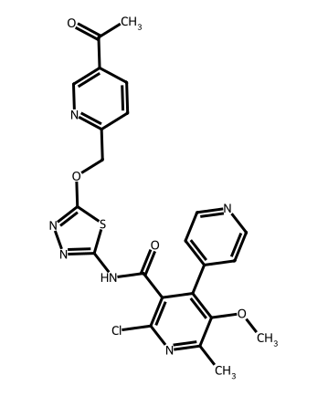 COc1c(C)nc(Cl)c(C(=O)Nc2nnc(OCc3ccc(C(C)=O)cn3)s2)c1-c1ccncc1